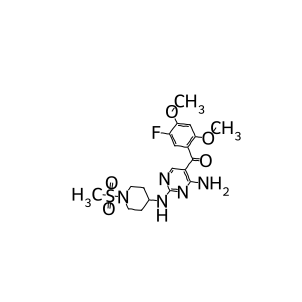 COc1cc(OC)c(C(=O)c2cnc(NC3CCN(S(C)(=O)=O)CC3)nc2N)cc1F